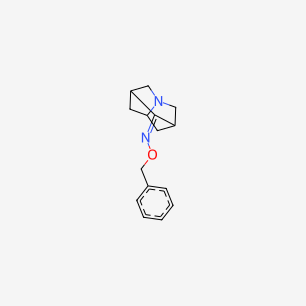 c1ccc(CON=C2C3CC4CC2CN4C3)cc1